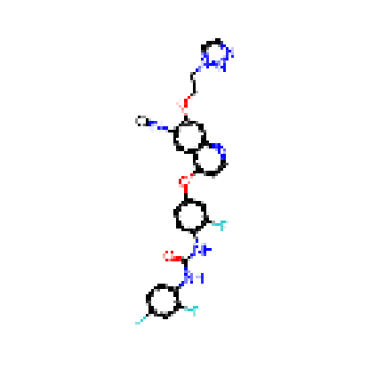 [C-]#[N+]c1cc2c(Oc3ccc(NC(=O)Nc4ccc(F)cc4F)c(F)c3)ccnc2cc1OCCn1ccnn1